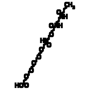 CCCCC(=O)NCCCNC(=O)CCOCCNC(=O)CCOCCOCCOCCOCCOCCC(=O)O